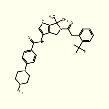 CN1CCN(c2ccc(C(=O)Nc3c[nH]c4c3CN(C(=O)Cc3ccccc3C(F)(F)F)C4(C)C)cc2)CC1